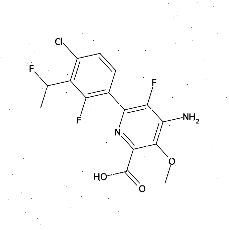 COc1c(C(=O)O)nc(-c2ccc(Cl)c(C(C)F)c2F)c(F)c1N